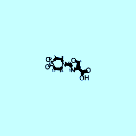 O=C(O)c1coc(N2CCS(=O)(=O)CC2)n1